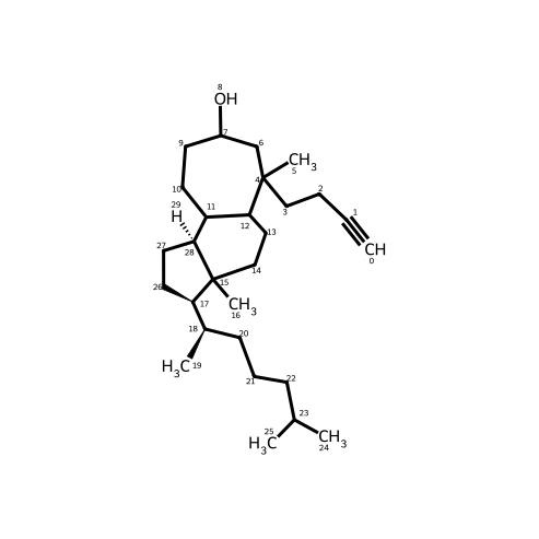 C#CCCC1(C)CC(O)CCC2C1CCC1(C)[C@@H]([C@H](C)CCCC(C)C)CC[C@@H]21